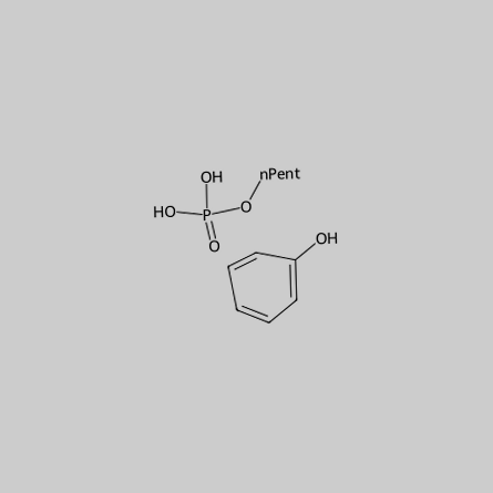 CCCCCOP(=O)(O)O.Oc1ccccc1